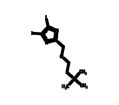 CS(C)(C)CCOCn1nc(I)c(I)n1